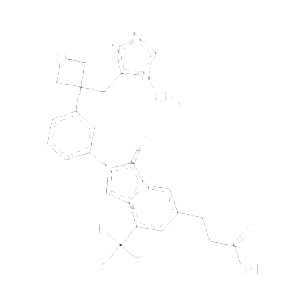 Cn1cnnc1CC1(c2cccc(-n3cc4c(C(F)(F)F)cc(CCC(=O)O)cn4c3=O)c2)COC1